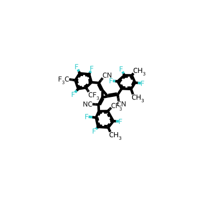 Cc1c(F)c(C)c(/C(C#N)=C2/C(=C(C#N)c3c(F)c(F)c(C)c(F)c3C(F)(F)F)/C2=C(/C#N)c2c(F)c(F)c(C(F)(F)F)c(F)c2C(F)(F)F)c(F)c1F